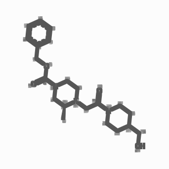 C[C@H]1CN(C(=O)OCc2ccccc2)CCN1CC(=O)N1CCC(CO)CC1